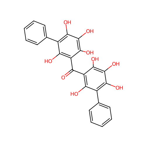 O=C(c1c(O)c(O)c(O)c(-c2ccccc2)c1O)c1c(O)c(O)c(O)c(-c2ccccc2)c1O